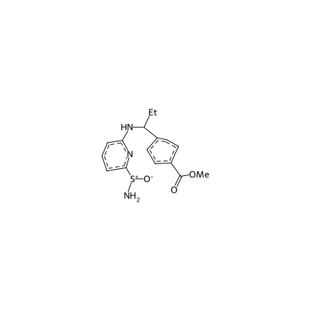 CCC(Nc1cccc([S+](N)[O-])n1)c1ccc(C(=O)OC)cc1